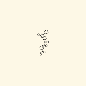 CCOC(=O)[C@H]1CCCN(C(=O)CNc2ccc3c(-c4ccccc4C)cc(=O)oc3c2)C1